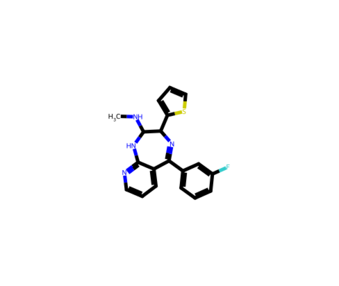 CNC1Nc2ncccc2C(c2cccc(F)c2)=NC1c1cccs1